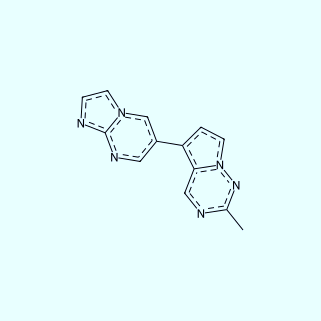 Cc1ncc2c(-c3cnc4nccn4c3)ccn2n1